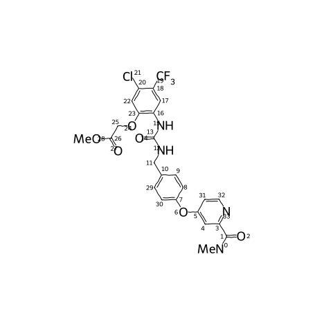 CNC(=O)c1cc(Oc2ccc(CNC(=O)Nc3cc(C(F)(F)F)c(Cl)cc3OCC(=O)OC)cc2)ccn1